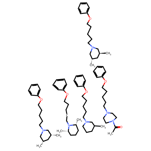 CC(=O)N1CCN(CCCCCOc2ccccc2)CC1.CC1CCCN(CCCCCOc2ccccc2)C1.C[C@@H]1CCC[C@H](C)N1CCCCCOc1ccccc1.C[C@@H]1C[C@H](C)CN(CCCCCOc2ccccc2)C1.C[C@H]1C[C@H](C)CN(CCCCCOc2ccccc2)C1